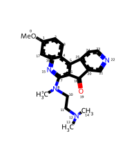 COc1ccc2c3c(c(N(C)CCN(C)C)nc2c1)C(=O)c1cnccc1-3